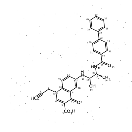 C#CCn1cc(C(=O)O)c(=O)c2cc(NC(O)[C@H](C)NC(=O)c3ccc(-c4ccccc4)cc3)ccc21